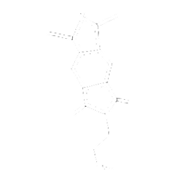 CNCCn1c(=O)c2cc3c(=O)[nH]c(=O)c3cc2c1=O